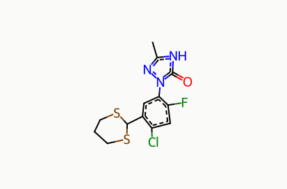 Cc1nn(-c2cc(C3SCCCS3)c(Cl)cc2F)c(=O)[nH]1